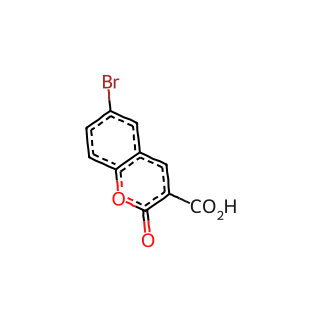 O=C(O)c1cc2cc(Br)ccc2oc1=O